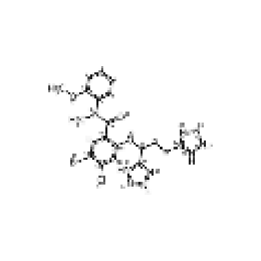 COc1ccccc1N(C)C(=O)c1cc(Br)c(Cl)cc1OC(CCc1nnn[nH]1)c1nnn[nH]1